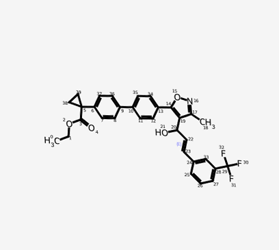 CCOC(=O)C1(c2ccc(-c3ccc(-c4onc(C)c4C(O)/C=C/c4cccc(C(F)(F)F)c4)cc3)cc2)CC1